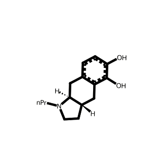 CCCN1CC[C@H]2Cc3c(ccc(O)c3O)C[C@@H]21